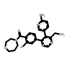 CCc1ncnc(-c2ccc(C(=O)N3CCCOCC3)c(Cl)c2)c1-c1ccc(N)nc1